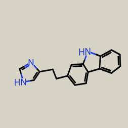 c1ccc2c(c1)[nH]c1cc(CCc3c[nH]cn3)ccc12